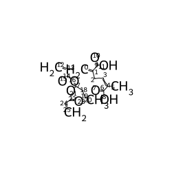 C=C(CC=C(C)C(=O)O)C(=O)O.C=CC(=O)OC(CCC)OC(=O)C=C